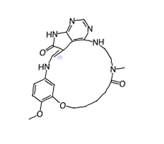 COc1ccc2cc1OCCCCC(=O)N(C)CCNc1ncnc3c1/C(=C/N2)C(=O)N3